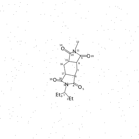 CCC(CC)N1C(=O)C2CC3C(=O)N(C)C(=O)C3CC2C1=O